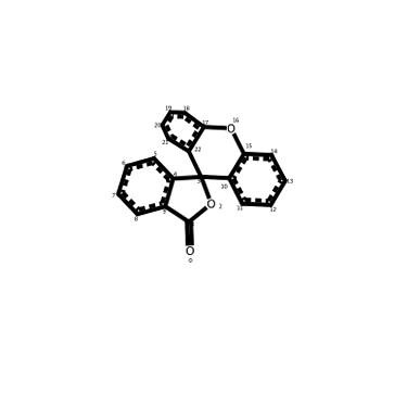 O=C1OC2(c3cc[c][c]c31)c1ccccc1Oc1ccccc12